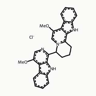 COc1cnc(C2CCCc3c4[nH]c5ccccc5c4c(OC)c[n+]32)c2[nH]c3ccccc3c12.[Cl-]